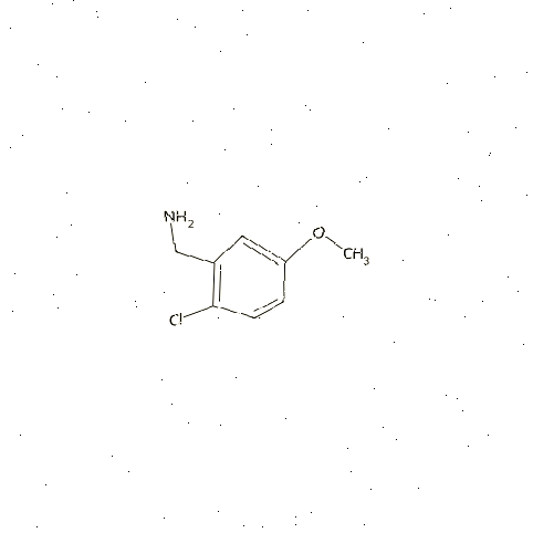 COc1c[c]c(Cl)c(CN)c1